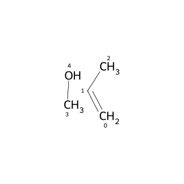 C=CC.CO